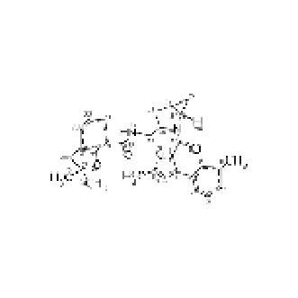 Cc1cccc(-c2sc(C)nc2C(=O)N2C(CNC(=O)c3cccc4c3OC(C)(C)C4)CC3C[C@@H]32)c1